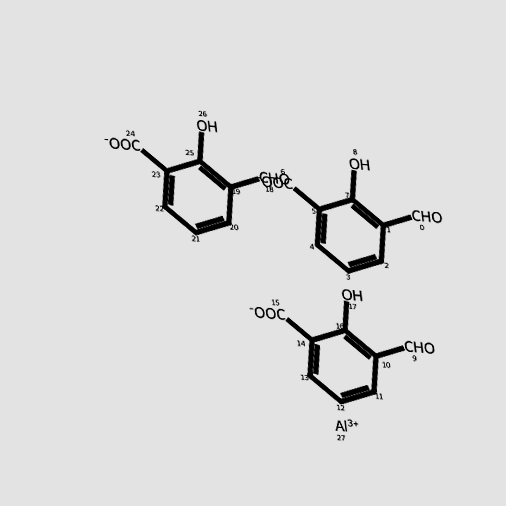 O=Cc1cccc(C(=O)[O-])c1O.O=Cc1cccc(C(=O)[O-])c1O.O=Cc1cccc(C(=O)[O-])c1O.[Al+3]